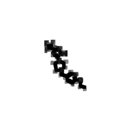 CCOc1ccc(CN2CCN(c3nc(C(F)(F)F)n[nH]3)CC2)cn1